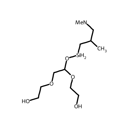 CNCC(C)C[SiH2]OC(COCCO)OCCO